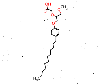 CCCCCCCCCCCCc1ccc(OCC(COC)OCC(=O)O)cc1